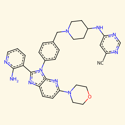 N#Cc1cc(NC2CCN(Cc3ccc(-n4c(-c5cccnc5N)nc5ccc(N6CCOCC6)nc54)cc3)CC2)ncn1